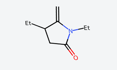 C=C1C(CC)CC(=O)N1CC